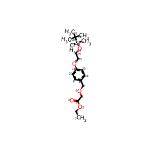 CCOC(=O)COCc1ccc(OCCO[Si](C)(C)C(C)(C)C)cc1